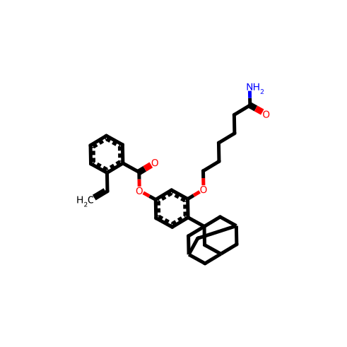 C=Cc1ccccc1C(=O)Oc1ccc(C23CC4CC(CC(C4)C2)C3)c(OCCCCCC(N)=O)c1